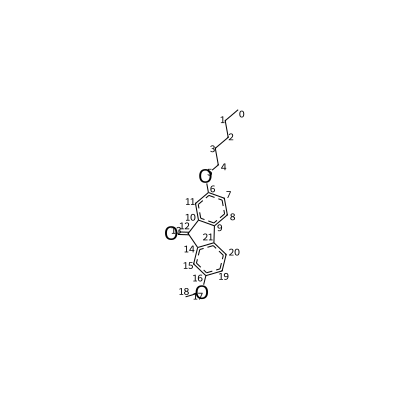 CCCCCOc1ccc2c(c1)C(=O)c1cc(OC)ccc1-2